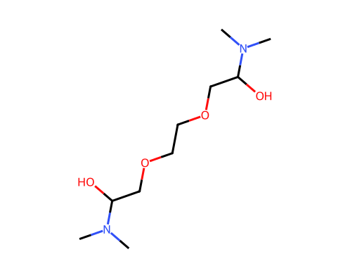 CN(C)C(O)COCCOCC(O)N(C)C